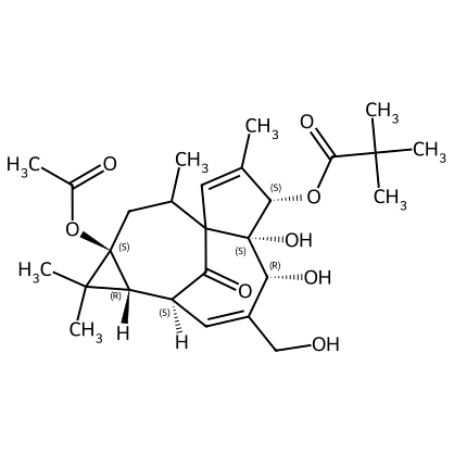 CC(=O)O[C@@]12CC(C)C34C=C(C)[C@H](OC(=O)C(C)(C)C)[C@@]3(O)[C@H](O)C(CO)=C[C@H](C4=O)[C@@H]1C2(C)C